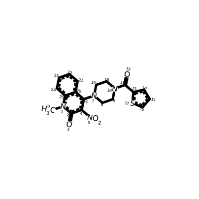 Cn1c(=O)c([N+](=O)[O-])c(N2CCN(C(=O)c3cccs3)CC2)c2ccccc21